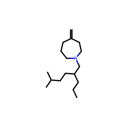 C=C1CCCN(CC(CCC)CCC(C)C)CC1